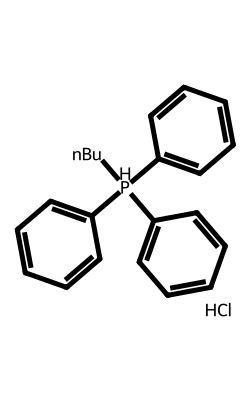 CCCC[PH](c1ccccc1)(c1ccccc1)c1ccccc1.Cl